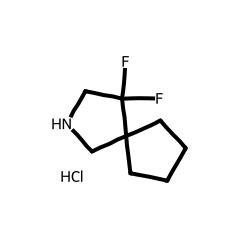 Cl.FC1(F)CNCC12CCCC2